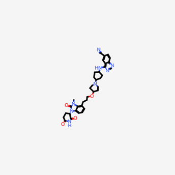 Cn1c(=O)n(C2CCC(=O)NC2=O)c2cccc(CCCOC3CCN(C4CCC(Nc5ncnc6ccc(C#N)cc56)CC4)CC3)c21